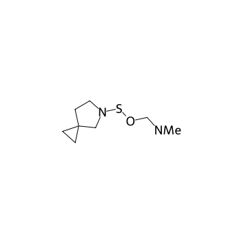 CNCOSN1CCC2(CC2)C1